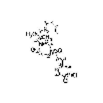 CC(C)(CN1CCCCC1)CN1CCN(C(=O)C=Cc2ccc(Cl)c(Cl)c2)CCC1=O